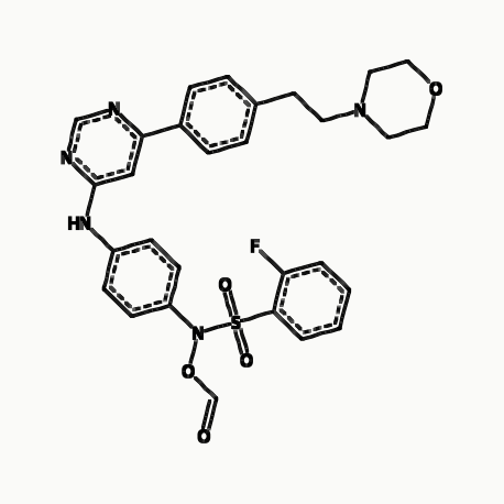 O=CON(c1ccc(Nc2cc(-c3ccc(CCN4CCOCC4)cc3)ncn2)cc1)S(=O)(=O)c1ccccc1F